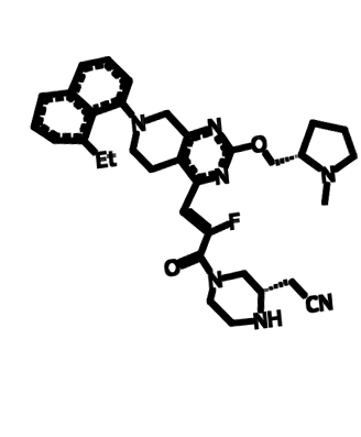 CCc1cccc2cccc(N3CCc4c(C=C(F)C(=O)N5CCN[C@@H](CC#N)C5)nc(OC[C@@H]5CCCN5C)nc4C3)c12